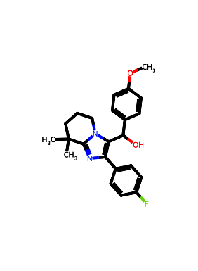 COc1ccc(C(O)c2c(-c3ccc(F)cc3)nc3n2CCCC3(C)C)cc1